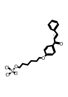 O=C(/C=C/c1ccccc1)c1ccc(OCCCCCCO[Si](Cl)(Cl)Cl)cc1